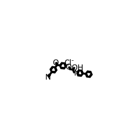 N#Cc1ccc(C(=O)c2ccc(OCC(O)C[n+]3ccc(-c4ccccc4)cc3)cc2)cc1.[Cl-]